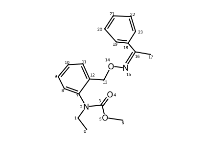 CCN(C(=O)OC)c1ccccc1CON=C(C)c1ccccc1